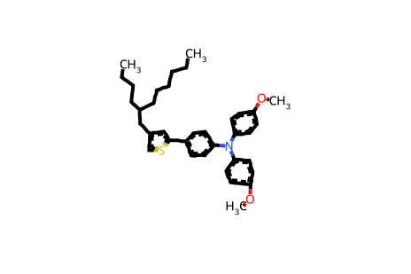 CCCCCCC(CCCC)Cc1csc(-c2ccc(N(c3ccc(OC)cc3)c3ccc(OC)cc3)cc2)c1